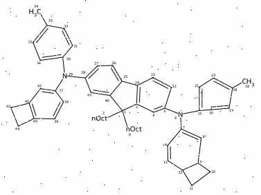 CCCCCCCCC1(CCCCCCCC)c2cc(N(C3=CC4CCC4C=C3)c3ccc(C)cc3)ccc2-c2ccc(N(c3ccc(C)cc3)c3ccc4c(c3)CC4)cc21